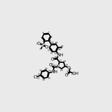 CS(=O)(=O)c1ccccc1-c1ccc(NC(=O)C2CC(OC(=O)O)CN2C(=O)Nc2ccc(Cl)cc2)c(F)c1